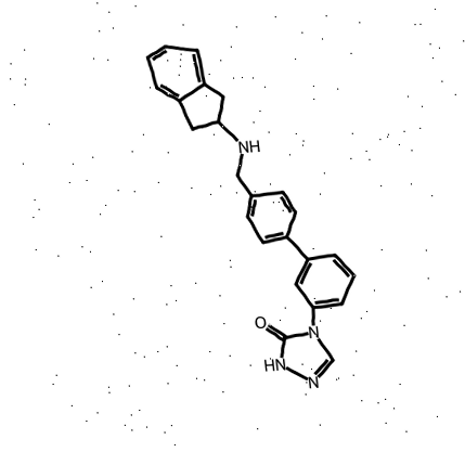 O=c1[nH]ncn1-c1cccc(-c2ccc(CNC3Cc4ccccc4C3)cc2)c1